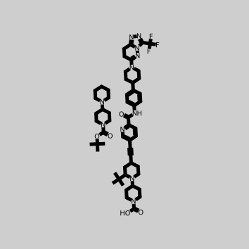 CC(C)(C)C1CC(C#Cc2ccc(C(=O)Nc3ccc(C4CCN(C5=Nn6c(nnc6C(F)(F)F)CC5)CC4)cc3)nc2)CCN1C1CCN(C(=O)O)CC1.CC(C)(C)OC(=O)N1CCC(N2CCCCC2)CC1